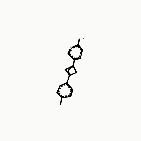 Cc1ccc(C23CC(c4ccc(C(F)(F)F)nc4)(C2)C3)cc1